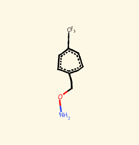 NOCc1ccc(C(F)(F)F)cc1